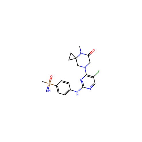 CN1C(=O)CN(c2nc(Nc3ccc(S(C)(=N)=O)cc3)ncc2F)CC12CC2